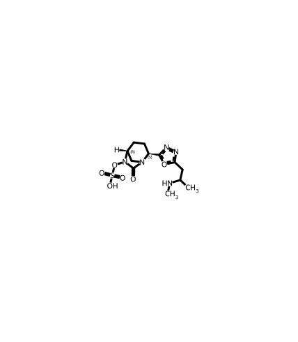 CNC(C)Cc1nnc([C@@H]2CC[C@@H]3CN2C(=O)N3OS(=O)(=O)O)o1